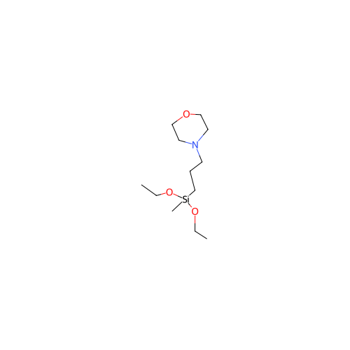 CCO[Si](C)(CCCN1CCOCC1)OCC